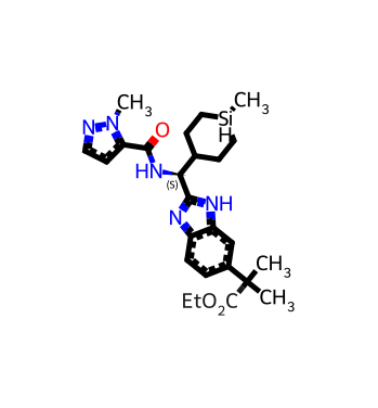 CCOC(=O)C(C)(C)c1ccc2nc([C@@H](NC(=O)c3ccnn3C)C3CC[SiH](C)CC3)[nH]c2c1